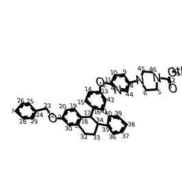 CC(C)(C)OC(=O)N1CCN(c2ccc(Oc3ccc(C4c5ccc(OCc6ccccc6)cc5CCC4c4ccccc4)cc3)nc2)CC1